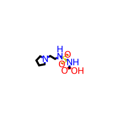 O=C(O)NS(=O)(=O)NCCN1CCCC1